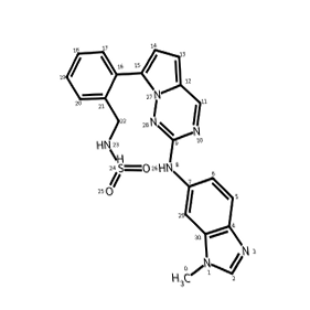 Cn1cnc2ccc(Nc3ncc4ccc(-c5ccccc5CN[SH](=O)=O)n4n3)cc21